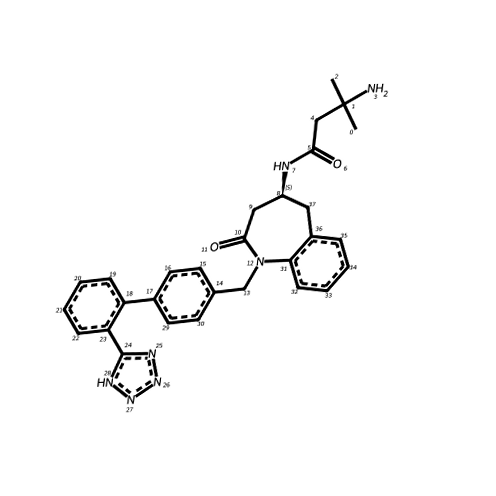 CC(C)(N)CC(=O)N[C@@H]1CC(=O)N(Cc2ccc(-c3ccccc3-c3nnn[nH]3)cc2)c2ccccc2C1